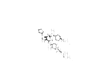 CCNC(=O)ON1CCC(Nc2nc(N[C@H]3CC[C@H](N)CC3)nc3c2ncn3C2CCCC2)CC1